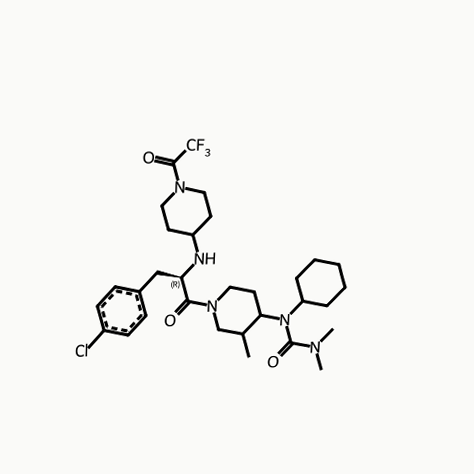 CC1CN(C(=O)[C@@H](Cc2ccc(Cl)cc2)NC2CCN(C(=O)C(F)(F)F)CC2)CCC1N(C(=O)N(C)C)C1CCCCC1